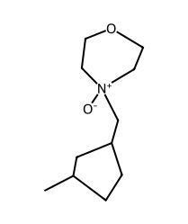 CC1CCC(C[N+]2([O-])CCOCC2)C1